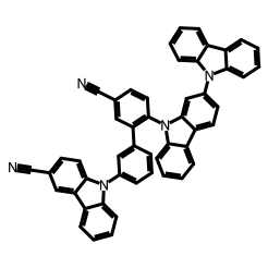 N#Cc1ccc(-n2c3ccccc3c3ccc(-n4c5ccccc5c5ccccc54)cc32)c(-c2cccc(-n3c4ccccc4c4cc(C#N)ccc43)c2)c1